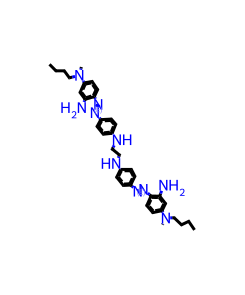 CCCCN(C)c1ccc(/N=N/c2ccc(NCCNc3ccc(/N=N/c4ccc(N(C)CCCC)cc4N)cc3)cc2)c(N)c1